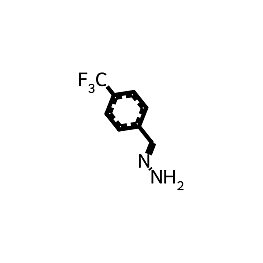 NN=Cc1ccc(C(F)(F)F)cc1